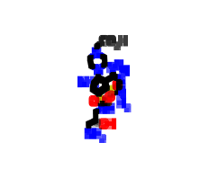 N.NC[C@@H](O)CNS(=O)(=O)c1ccc(N2CCN(CC(=O)O)CC2)c(-c2nnn[nH]2)c1S(N)(=O)=O